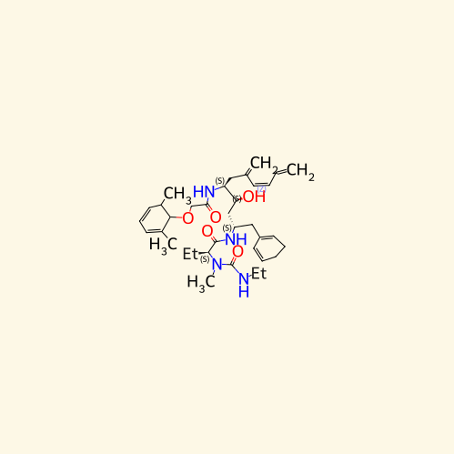 C=C/C=C\C(=C)C[C@H](NC(=O)COC1C(C)=CC=CC1C)[C@@H](O)C[C@H](CC1=CCCC=C1)NC(=O)[C@H](CC)N(C)C(=O)NCC